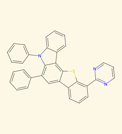 c1ccc(-c2cc3c4cccc(-c5ncccn5)c4sc3c3c4ccccc4n(-c4ccccc4)c23)cc1